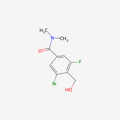 CN(C)C(=O)c1cc(F)c(CO)c(Br)c1